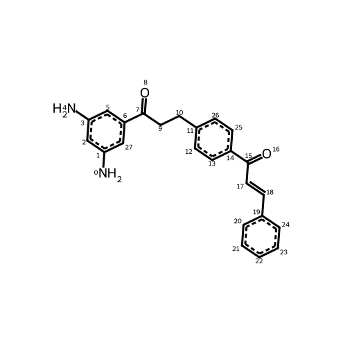 Nc1cc(N)cc(C(=O)CCc2ccc(C(=O)C=Cc3ccccc3)cc2)c1